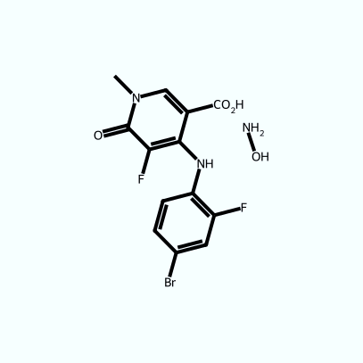 Cn1cc(C(=O)O)c(Nc2ccc(Br)cc2F)c(F)c1=O.NO